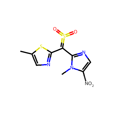 Cc1cnc(C(c2ncc([N+](=O)[O-])n2C)=S(=O)=O)s1